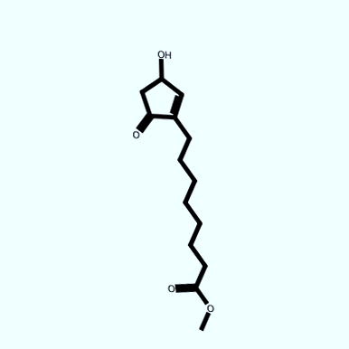 COC(=O)CCCCCCCC1=CC(O)CC1=O